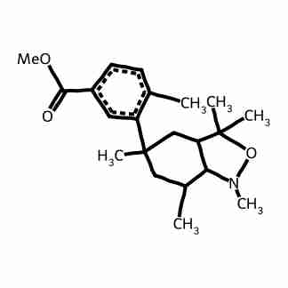 COC(=O)c1ccc(C)c(C2(C)CC(C)C3C(C2)C(C)(C)ON3C)c1